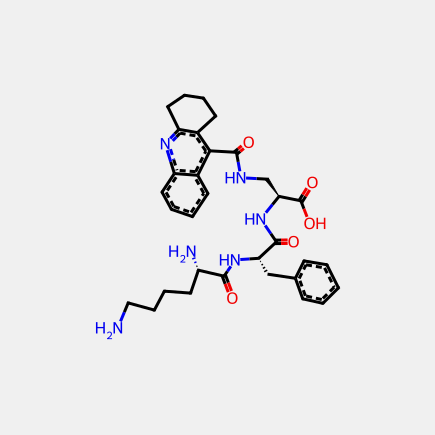 NCCCC[C@H](N)C(=O)N[C@@H](Cc1ccccc1)C(=O)N[C@@H](CNC(=O)c1c2c(nc3ccccc13)CCCC2)C(=O)O